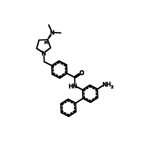 CN(C)[C@@H]1CCN(Cc2ccc(C(=O)Nc3cc(N)ccc3-c3ccccc3)cc2)C1